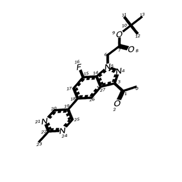 CC(=O)c1nn(CC(=O)OC(C)(C)C)c2c(F)cc(-c3cnc(C)nc3)cc12